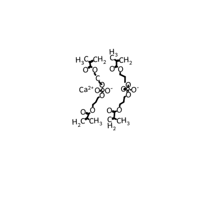 C=C(C)C(=O)OCCCOP(=O)([O-])OCCCOC(=O)C(=C)C.C=C(C)C(=O)OCCCOP(=O)([O-])OCCCOC(=O)C(=C)C.[Ca+2]